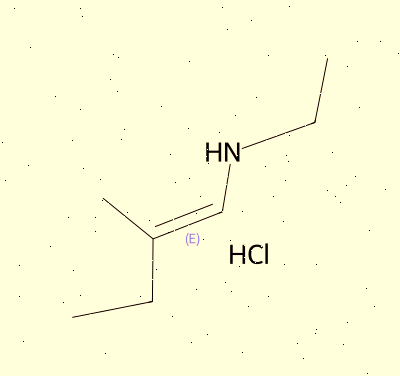 CCN/C=C(\C)CC.Cl